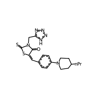 CCCC1CCN(c2ccc(C=C3SC(=S)N(Cc4nnn[nH]4)C3=O)cc2)CC1